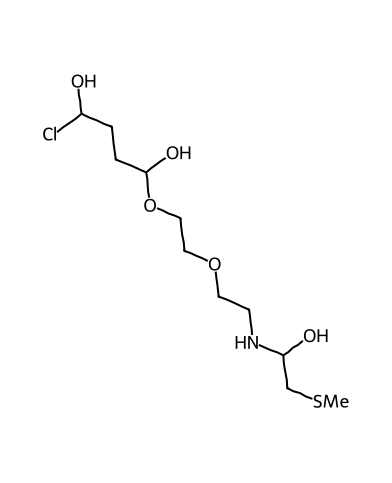 CSCC(O)NCCOCCOC(O)CCC(O)Cl